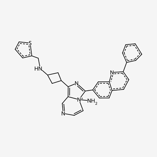 N[N+]12C=CN=CC1=C(C1CC(NCc3cccs3)C1)N=C2c1ccc2ccc(-c3ccccc3)nc2c1